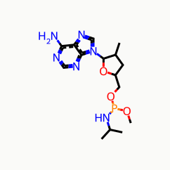 COP(NC(C)C)OCC1CC(C)C(n2cnc3c(N)ncnc32)O1